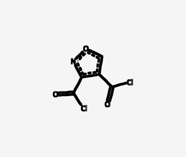 O=C(Cl)c1conc1C(=O)Cl